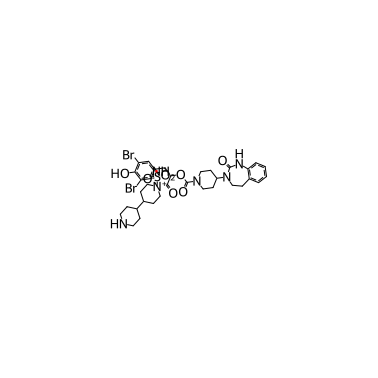 NS(=O)(=O)[N+]1(C(=O)[C@@H](Cc2cc(Br)c(O)c(Br)c2)OC(=O)N2CCC(N3CCc4ccccc4NC3=O)CC2)CCC(C2CCNCC2)CC1